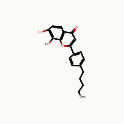 CC(=O)OCCCCc1ccc(-c2cc(=O)c3ccc(O)c(O)c3o2)cc1